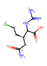 N=C(N)NC(C(=O)O)[C@H](CCCl)CC(N)=O